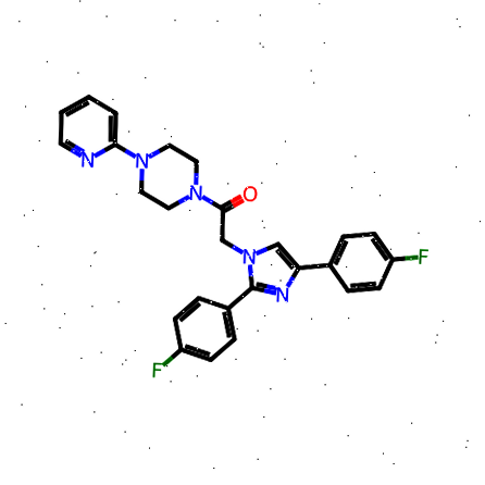 O=C(Cn1cc(-c2ccc(F)cc2)nc1-c1ccc(F)cc1)N1CCN(c2ccccn2)CC1